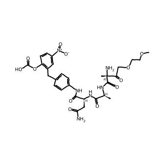 COCCOCC(=O)[C@@](C)(N)C(=O)N[C@@H](C)C(=O)N[C@@H](CC(N)=O)C(=O)Nc1ccc(Cc2cc([N+](=O)[O-])ccc2OC(=O)O)cc1